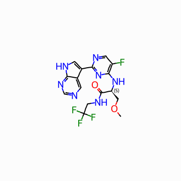 COC[C@H](Nc1nc(-c2c[nH]c3ncncc23)ncc1F)C(=O)NCC(F)(F)F